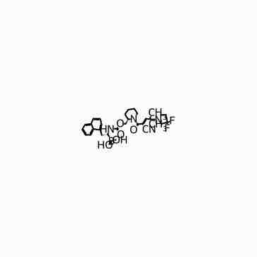 CC(C)(C=C(C#N)C(=O)N1CCCC[C@@H]1COC(=O)N[C@@H](Cc1cccc2ccccc12)B(O)O)N1CCC(F)(F)C1